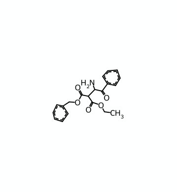 CCOC(=O)C(C(=O)OCc1ccccc1)C(N)C(=O)c1ccccc1